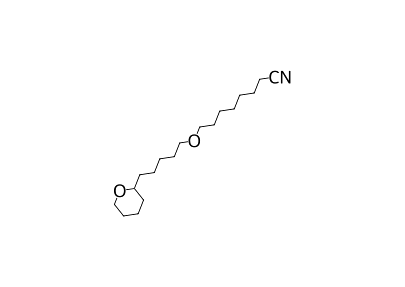 N#CCCCCCCCOCCCCCC1CCCCO1